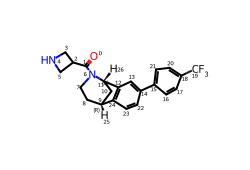 O=C(C1CNC1)N1CC[C@@H]2C[C@H]1c1cc(-c3ccc(C(F)(F)F)cc3)ccc12